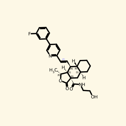 C[C@H]1OC(=O)[C@]2(C(=O)NCCO)C[C@@H]3CCCC[C@H]3[C@H](/C=C/c3ccc(-c4cccc(F)c4)cn3)[C@H]12